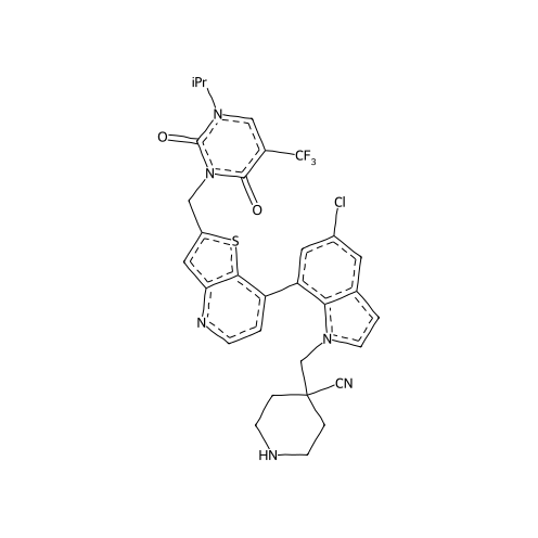 CC(C)n1cc(C(F)(F)F)c(=O)n(Cc2cc3nccc(-c4cc(Cl)cc5ccn(CC6(C#N)CCNCC6)c45)c3s2)c1=O